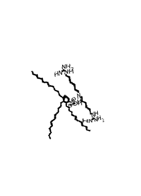 CCCCCCCCCCCCc1ccc(S(=O)(=O)O)c(CCCCCCCCCCCC)c1CCCCCCCCCCCC.N=C(N)NCCCCCCNCCCCCCNC(=N)N